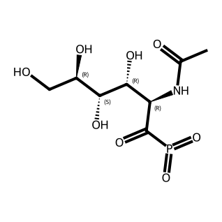 CC(=O)N[C@@H](C(=O)P(=O)=O)[C@@H](O)[C@H](O)[C@H](O)CO